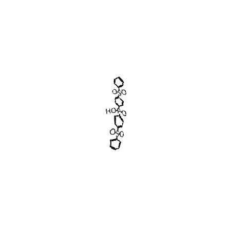 O=P(O)(c1ccc(S(=O)(=O)c2ccccc2)cc1)c1ccc(S(=O)(=O)c2ccccc2)cc1